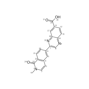 Cn1ccc2cc(-c3cnc4ccc(C(=O)O)cc4n3)ccc2c1=O